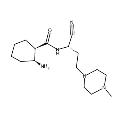 CN1CCN(CC[C@@H](C#N)NC(=O)[C@@H]2CCCC[C@@H]2N)CC1